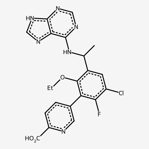 CCOc1c(C(C)Nc2ncnc3[nH]cnc23)cc(Cl)c(F)c1-c1ccc(C(=O)O)nc1